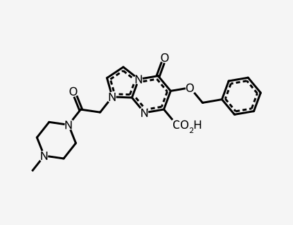 CN1CCN(C(=O)Cn2ccn3c(=O)c(OCc4ccccc4)c(C(=O)O)nc23)CC1